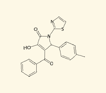 Cc1ccc(C2C(C(=O)c3ccccc3)=C(O)C(=O)N2c2nccs2)cc1